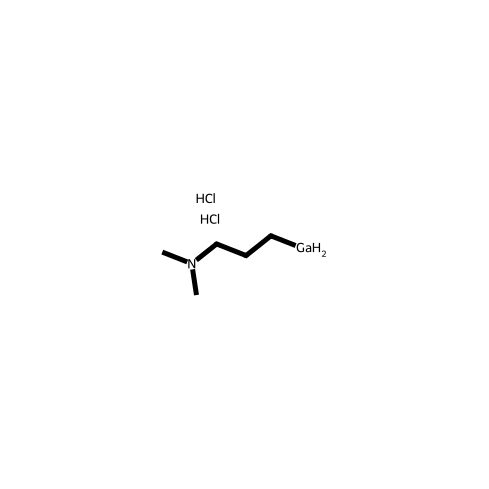 CN(C)CC[CH2][GaH2].Cl.Cl